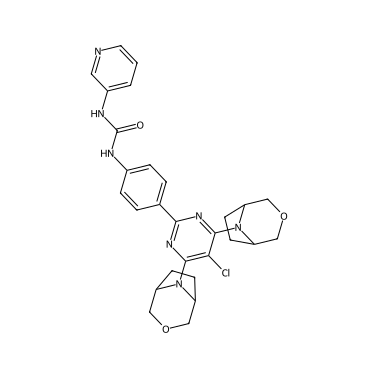 O=C(Nc1ccc(-c2nc(N3C4CCC3COC4)c(Cl)c(N3C4CCC3COC4)n2)cc1)Nc1cccnc1